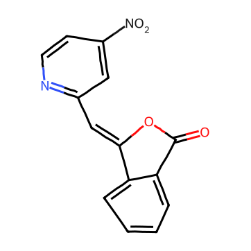 O=C1OC(=Cc2cc([N+](=O)[O-])ccn2)c2ccccc21